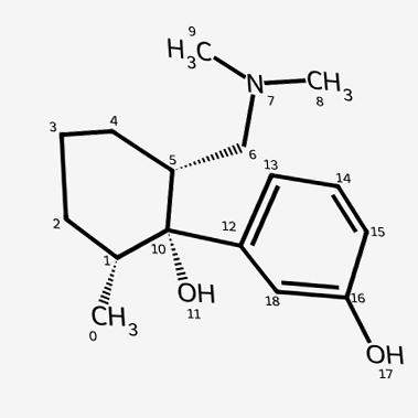 C[C@@H]1CCC[C@H](CN(C)C)[C@@]1(O)c1cccc(O)c1